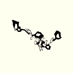 CC12CC(NC(=O)N1c1cccc(C(=O)NCCc3ccc4ncccc4c3)c1)c1cccc(OCc3ccccc3)c1O2